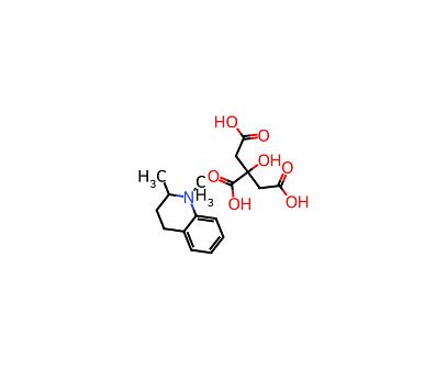 CC1CCc2ccccc2N1C.O=C(O)CC(O)(CC(=O)O)C(=O)O